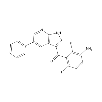 Nc1ccc(F)c(C(=O)c2c[nH]c3ncc(-c4ccccc4)cc23)c1F